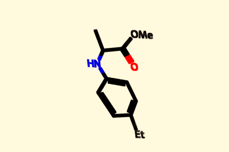 CCc1ccc(NC(C)C(=O)OC)cc1